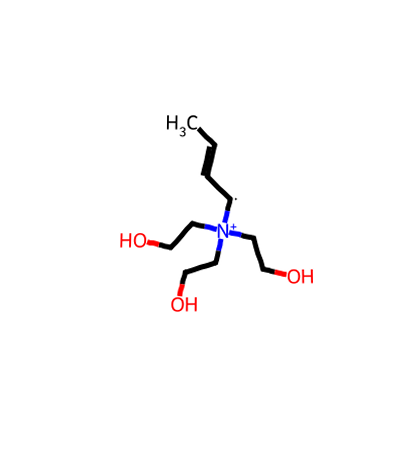 CC=C[CH][N+](CCO)(CCO)CCO